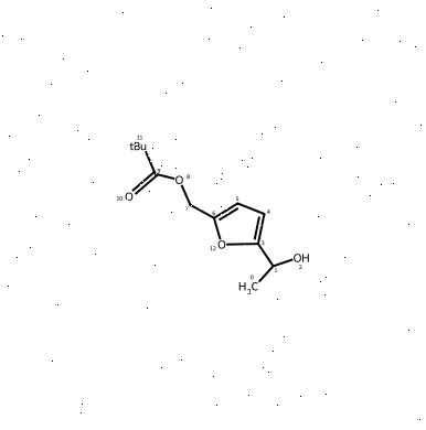 CC(O)c1ccc(COC(=O)C(C)(C)C)o1